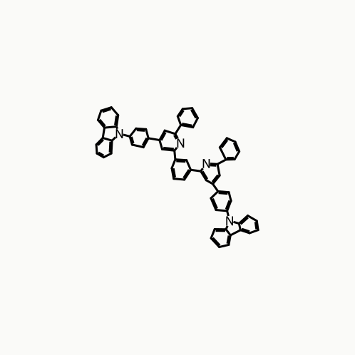 c1ccc(-c2cc(-c3ccc(-n4c5ccccc5c5ccccc54)cc3)cc(-c3cccc(-c4cc(-c5ccc(-n6c7ccccc7c7ccccc76)cc5)cc(-c5ccccc5)n4)c3)n2)cc1